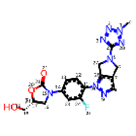 Cn1nnc(N2Cc3cnn(-c4ccc(N5C[C@H](CO)OC5=O)cc4F)c3C2)n1